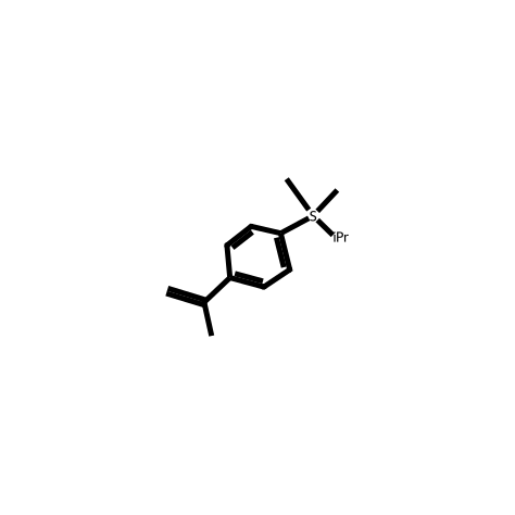 C=C(C)c1ccc(S(C)(C)C(C)C)cc1